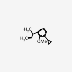 [CH2]C(C=C)c1cccc(C2CC2)c1OC